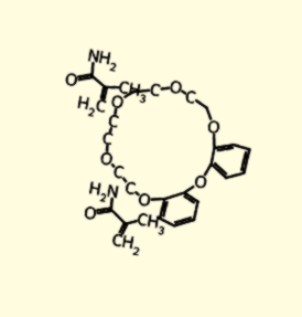 C=C(C)C(N)=O.C=C(C)C(N)=O.c1ccc2c(c1)OCCOCCOCCOCCOc1ccccc1O2